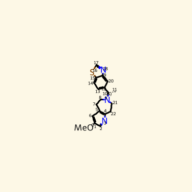 COc1cnc2c(c1)CCN([C@@H](C)c1ccc3scnc3c1)CC2